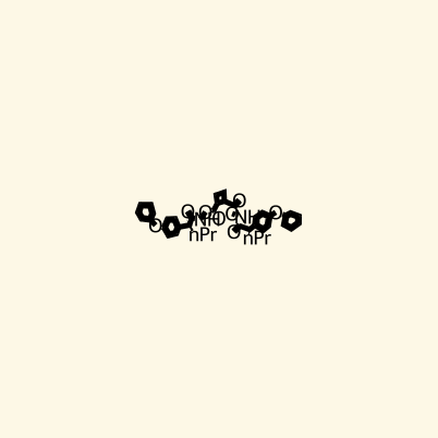 CCC[C@H](C(=O)NOC(=O)C1CCC1C(=O)ONC(=O)[C@@H](CCC)c1ccc(Oc2ccccc2)cc1)c1ccc(Oc2ccccc2)cc1